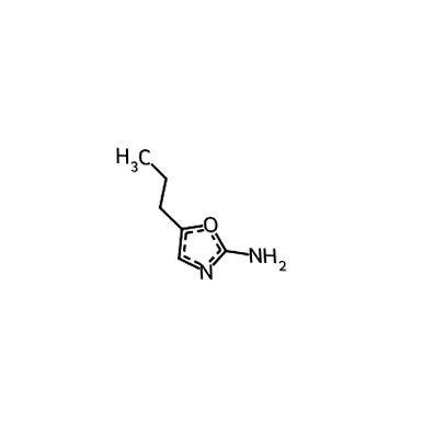 CCCc1cnc(N)o1